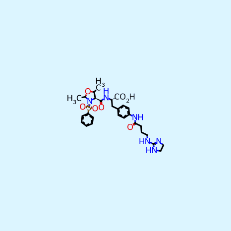 CC1OC(C)N(S(=O)(=O)c2ccccc2)[C@@H]1C(=O)N[C@@H](Cc1ccc(NC(=O)CCCNC2=NCCN2)cc1)C(=O)O